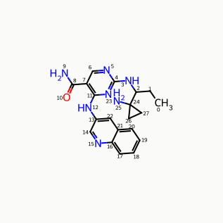 CCC(Nc1ncc(C(N)=O)c(Nc2cnc3ccccc3c2)n1)C1(N)CC1